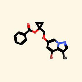 N#Cc1cnn2cc(OCC3(OC(=O)c4ccccc4)CC3)cc(Br)c12